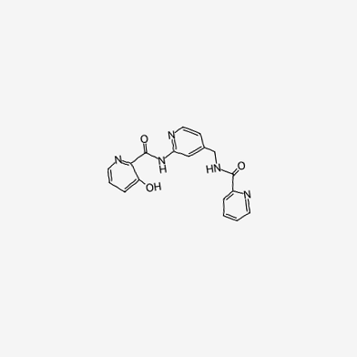 O=C(NCc1ccnc(NC(=O)c2ncccc2O)c1)c1ccccn1